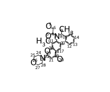 Cc1c(N(C(=O)C=O)C(C)c2ccccc2)ccc2c(=O)cc(N3CCOCC3)oc12